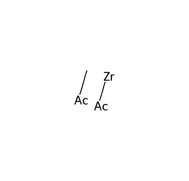 CC(C)=O.C[C](=O)[Zr]